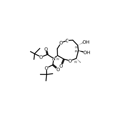 C[C@@H]1OC(=O)[C@@H](N(C(=O)OC(C)(C)C)C(=O)OC(C)(C)C)COCC[C@H](O)[C@H]1O